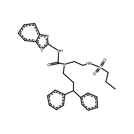 CCCS(=O)(=O)NCCN(CCC(c1ccccc1)c1ccccc1)C(=O)Nc1nc2ccccc2s1